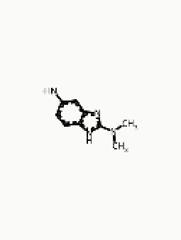 CN(C)c1nc2cc([NH])ccc2[nH]1